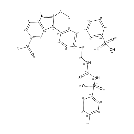 CCc1nc2ccc(C(C)=O)cc2n1-c1ccc(CCNC(=O)NS(=O)(=O)c2ccc(C)cc2)cc1.O=S(=O)(O)c1ccccc1